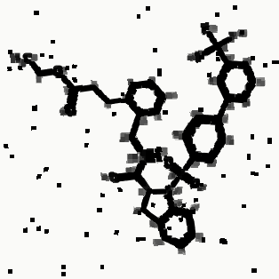 CCOC(=O)CCc1ccccc1CNC(=O)[C@@H]1Cc2ccccc2N1S(=O)(=O)c1ccc(-c2cccc(C(F)(F)F)c2)cc1